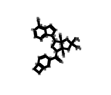 CC1(C)O[C@@H]2[C@H](O1)[C@@H](C(=O)c1ccc3c(c1)CC3)O[C@H]2n1ccc2c(Cl)ncnc21